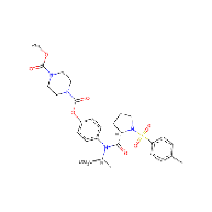 CCOC(=O)[C@H](C)N(C(=O)[C@@H]1CCCN1S(=O)(=O)c1ccc(C)cc1)c1ccc(OC(=O)N2CCN(C(=O)OC(C)(C)C)CC2)cc1